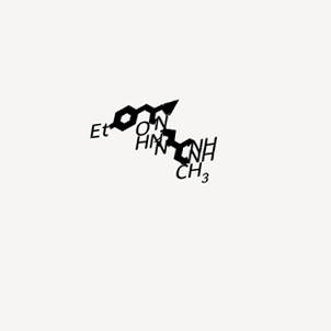 CCc1ccc(CC2C(=O)N(c3cc(/C(C=N)=C/C(C)=N)n[nH]3)C3CC23)cc1